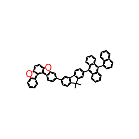 CC1(C)c2ccc(-c3ccc4c(c3)oc3ccc5oc6ccccc6c5c34)cc2-c2ccc(-c3c4ccccc4c(-c4cccc5ccccc45)c4ccccc34)cc21